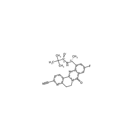 C[C@@H](N[S@+]([O-])C(C)(C)C)c1cc(F)cc2c(=O)n3c(nc12)-c1ccc(C#N)nc1CC3